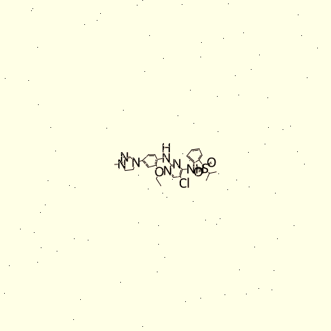 CCOc1cc(N2C=NN(C)CC2)ccc1Nc1ncc(Cl)c(Nc2ccccc2S(=O)(=O)C(C)C)n1